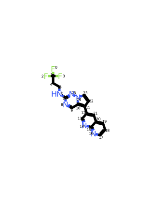 FC(F)(F)CCNc1ncc2c(-c3cnc4ncccc4c3)ccn2n1